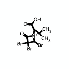 CC1(C)C(C(=O)O)[N+]12C(=O)C(Br)(Br)C2Br